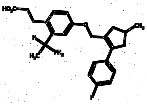 CC1CC(COc2ccc(CCC(=O)O)c(C(C)(F)P)c2)=C(c2ccc(F)cc2)C1